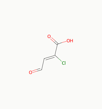 O=CC=C(Cl)C(=O)O